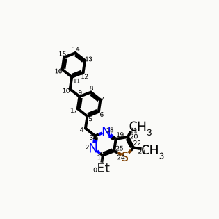 CCc1nc(Cc2cccc(Cc3ccccc3)c2)nc2c(C)c(C)sc12